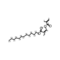 C=C(C)C(=O)OC=C(C)C(=O)OCCCCCCCCCCCC